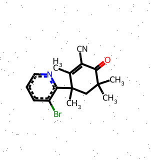 CC1=C(C#N)C(=O)C(C)(C)CC1(C)c1ncccc1Br